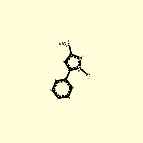 CCOC(=O)c1cc(-c2ccccc2)n(CC)n1